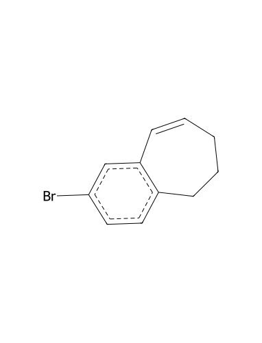 Brc1ccc2c(c1)C=CCCC2